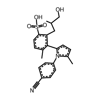 Cc1ccc(S(=O)(=O)O)c(CC(C)CO)c1-c1ccc(C)n1-c1ccc(C#N)cc1